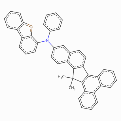 CC1(C)c2c(ccc3cc(N(c4ccccc4)c4cccc5c4sc4ccccc45)ccc23)-c2c1c1ccccc1c1ccccc21